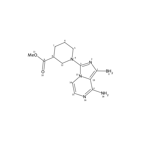 Bc1nc(N2CCCC(C(=O)OC)C2)n2ccnc(N)c12